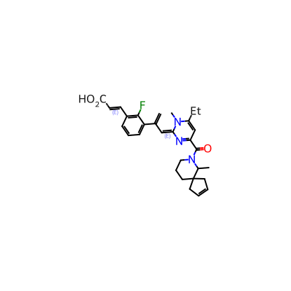 C=C(/C=C1/N=C(C(=O)N2CCCC3(CC=CC3)C2C)C=C(CC)N1C)c1cccc(/C=C/C(=O)O)c1F